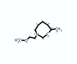 COCCN1CCCCC(C)CC1